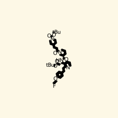 CC(C)(C)OC(=O)C[C@H](NC(=O)[C@@H]1CCCN(C(=O)CCC2CCN(C(=O)OC(C)(C)C)CC2)C1)c1cccnc1CCc1ccc(OCCF)cc1